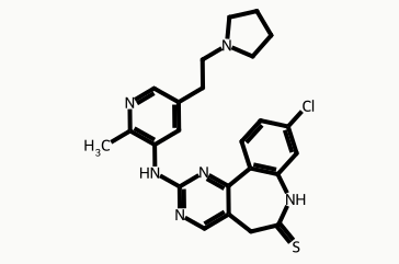 Cc1ncc(CCN2CCCC2)cc1Nc1ncc2c(n1)-c1ccc(Cl)cc1NC(=S)C2